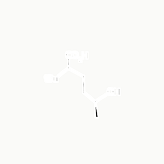 C[C@H](O)CCC(C(=O)O)C(C)(C)C